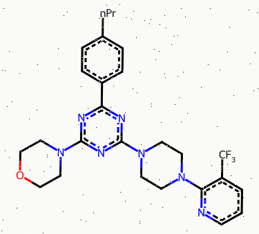 CCCc1ccc(-c2nc(N3CCOCC3)nc(N3CCN(c4ncccc4C(F)(F)F)CC3)n2)cc1